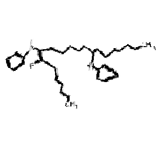 CCCCCCCC(CCCCCC(Nc1ccccc1)C(F)CCCCCC)Nc1ccccc1